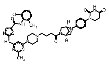 Cc1nc(Nc2ncc(C(=O)Nc3c(C)cccc3Cl)s2)cc(N2CCN(CCCC(=O)N3C[C@@H]4C[C@H]3CN4c3ccc(N4CCC(=O)NC4=O)cc3)CC2)n1